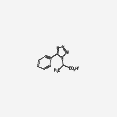 CC(C(=O)O)n1nnnc1-c1ccccc1